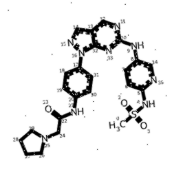 CS(=O)(=O)Nc1ccc(Nc2ncc3cnn(-c4ccc(NC(=O)CN5CCCC5)cc4)c3n2)cn1